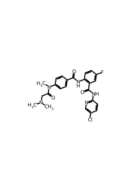 CN(C)CC(=O)N(C)c1ccc(C(=O)Nc2ccc(F)cc2C(=O)Nc2ccc(Cl)cn2)cc1